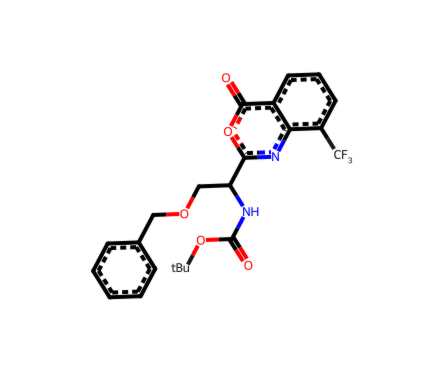 CC(C)(C)OC(=O)NC(COCc1ccccc1)c1nc2c(C(F)(F)F)cccc2c(=O)o1